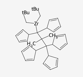 CC(C)(C)[CH2][Zr]([CH2]C(C)(C)C)[C](C1C=CC=C1)(C1C=CC=C1)C(C)(C)C(C1C=CC=C1)(C1C=CC=C1)C1C=CC=C1